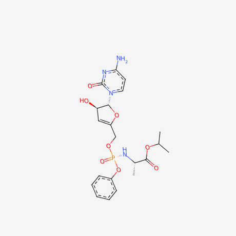 CC(C)OC(=O)[C@H](C)N[P@](=O)(OCC1=C[C@@H](O)[C@H](n2ccc(N)nc2=O)O1)Oc1ccccc1